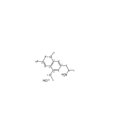 COc1cc(CC(C)N)cc(OC)c1C=C(F)F.Cl